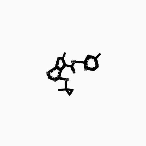 Cc1ccnc(NC(=O)c2c(C)oc3ncnc(NC4(C)CC4)c23)c1